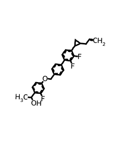 C=CCC1CC1c1ccc(-c2ccc(COc3ccc(C(C)O)c(F)c3)cc2)c(F)c1F